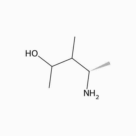 CC(O)C(C)[C@H](C)N